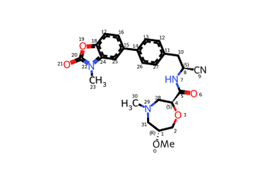 CO[C@H]1CO[C@H](C(=O)N[C@H](C#N)Cc2ccc(-c3ccc4oc(=O)n(C)c4c3)cc2)CN(C)C1